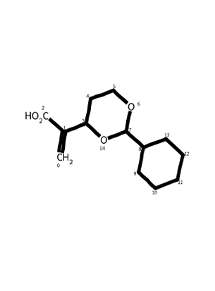 C=C(C(=O)O)C1CCOC(C2CCCCC2)O1